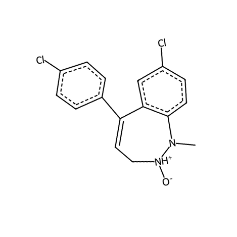 CN1c2ccc(Cl)cc2C(c2ccc(Cl)cc2)=CC[NH+]1[O-]